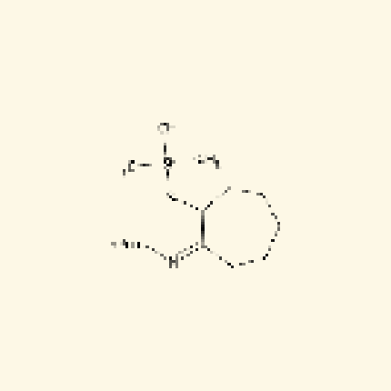 CCCCCN=C1CCCCCC1S[Si](C)(C)C